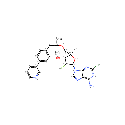 Nc1nc(Cl)nc2c1ncn2[C@@H]1O[C@@H]2C(OC(Cc3ccc(-c4cccnc4)cc3)(C(=O)O)C(=O)O)[C@]2(O)[C@@H]1F